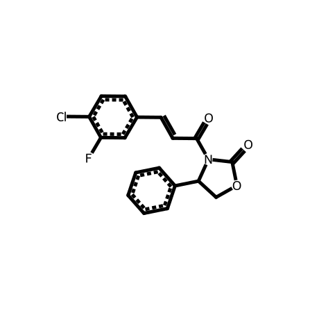 O=C(C=Cc1ccc(Cl)c(F)c1)N1C(=O)OCC1c1ccccc1